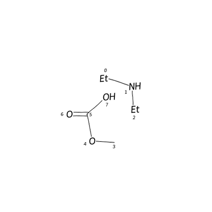 CCNCC.COC(=O)O